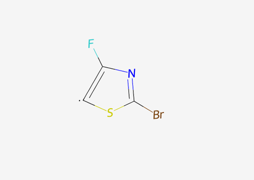 Fc1[c]sc(Br)n1